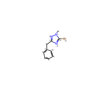 Cn1nc(Cc2ccccc2)nc1Br